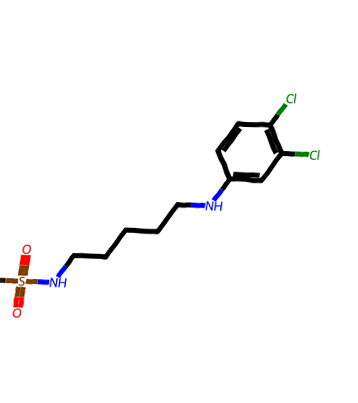 CC(C)S(=O)(=O)NCCCCCNc1ccc(Cl)c(Cl)c1